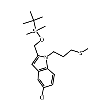 CSCCCn1c(CO[Si](C)(C)C(C)(C)C)cc2cc(Cl)ccc21